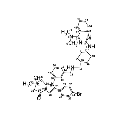 CN(C)c1nc(N[C@H]2CC[C@@H](CNCc3cccc(-n4c(-c5ccc(Br)cc5)cc5c4CC(C)(C)CC5=O)c3)CC2)nc2ccccc12